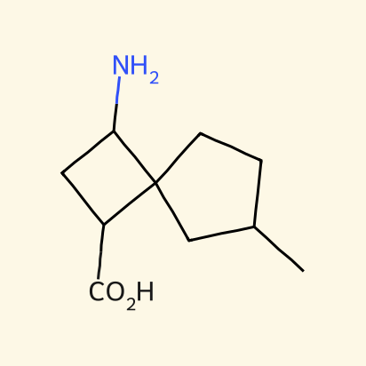 CC1CCC2(C1)C(N)CC2C(=O)O